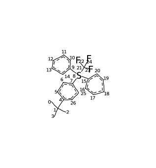 CC(C)(C)c1ccc(S(c2ccccc2)(c2ccccc2)C(F)(F)F)cc1